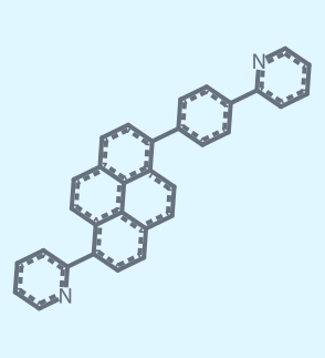 c1ccc(-c2ccc(-c3ccc4ccc5c(-c6ccccn6)ccc6ccc3c4c65)cc2)nc1